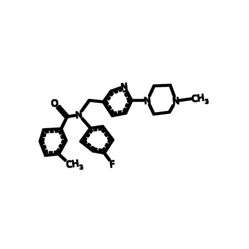 Cc1cccc(C(=O)N(Cc2ccc(N3CCN(C)CC3)nc2)c2ccc(F)cc2)c1